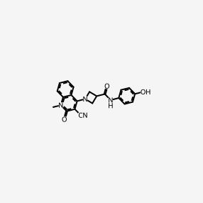 Cn1c(=O)c(C#N)c(N2CC(C(=O)Nc3ccc(O)cc3)C2)c2ccccc21